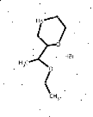 Br.CCOC(C)C1CNCCO1